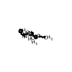 C=CCCCOc1ccc(C)c(-c2ccnc(NC(=O)c3nnc(Cc4ccccc4)[nH]3)c2)c1